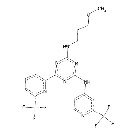 COCCCNc1nc(Nc2ccnc(C(F)(F)F)c2)nc(-c2cccc(C(F)(F)F)n2)n1